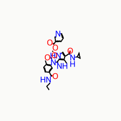 CCCNC(=O)c1ccc(C)c(N(C(=N)c2[nH]cc(C(=O)NC3CC3)c2C)C(=O)OCOC(=O)c2cccnc2)c1